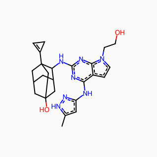 Cc1cc(Nc2nc(NC3C4CC5CC(O)(C4)CC3(C3=CC3)C5)nc3c2ccn3CCO)n[nH]1